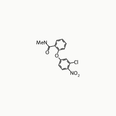 CNC(=O)c1ccccc1Oc1ccc([N+](=O)[O-])c(Cl)c1